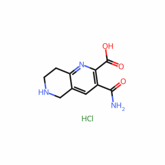 Cl.NC(=O)c1cc2c(nc1C(=O)O)CCNC2